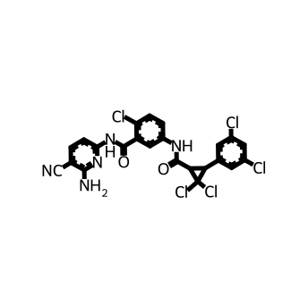 N#Cc1ccc(NC(=O)c2cc(NC(=O)C3C(c4cc(Cl)cc(Cl)c4)C3(Cl)Cl)ccc2Cl)nc1N